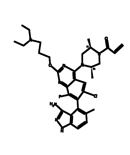 C=CC(=O)N1C[C@H](C)N(c2nc(OCCCN(CC)CC)nc3c(F)c(-c4c(C)ccc5[nH]nc(N)c45)c(Cl)cc23)C[C@H]1C